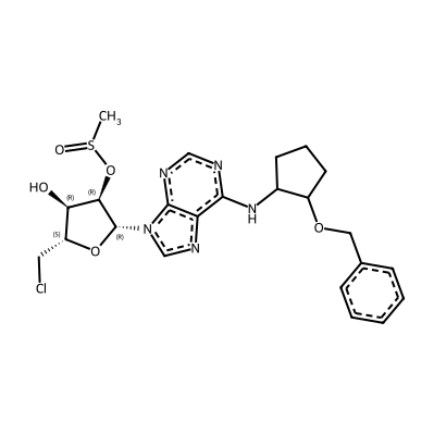 CS(=O)O[C@@H]1[C@H](O)[C@@H](CCl)O[C@H]1n1cnc2c(NC3CCCC3OCc3ccccc3)ncnc21